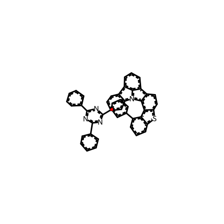 c1ccc(-c2nc(-c3ccccc3)nc(-c3cccc(-c4cccc5sc6ccc7c8cccc9c%10ccccc%10n(c98)c7c6c45)c3)n2)cc1